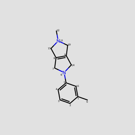 Cc1cccc(N2CC3=C(CN(C)C3)C2)c1